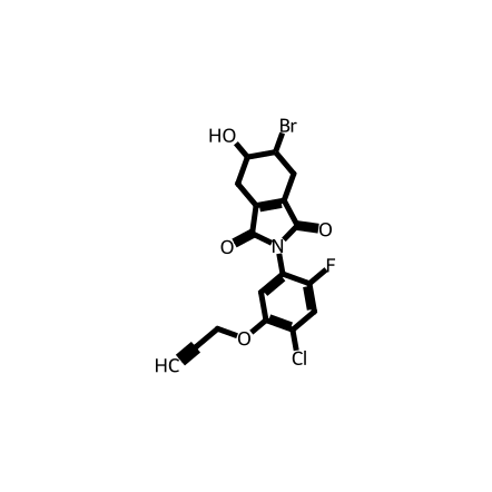 C#CCOc1cc(N2C(=O)C3=C(CC(Br)C(O)C3)C2=O)c(F)cc1Cl